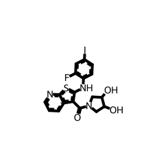 O=C(c1c(Nc2ccc(I)cc2F)sc2ncccc12)N1CC(O)C(O)C1